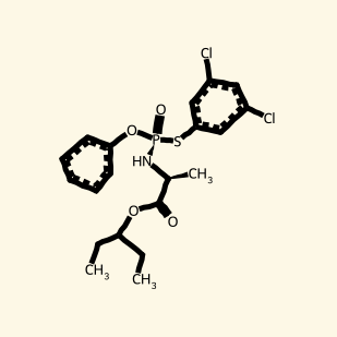 CCC(CC)OC(=O)[C@H](C)N[P@](=O)(Oc1ccccc1)Sc1cc(Cl)cc(Cl)c1